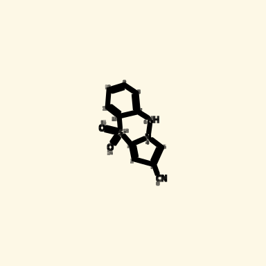 N#Cc1cc2n(c1)Nc1ccccc1S2(=O)=O